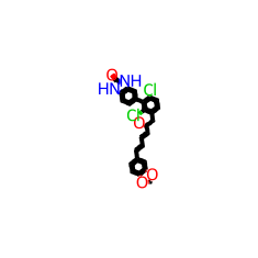 O=C(C=CC=Cc1ccc2c(c1)OCO2)Cc1ccc(Cl)c(-c2ccc3[nH]c(=O)[nH]c3c2)c1Cl